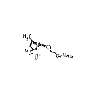 CCCCCCOCCOCC[n+]1cc(C)cc(C)c1.[Cl-]